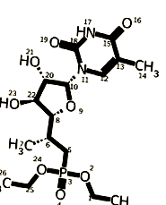 CCOP(=O)(C[C@H](C)[C@H]1O[C@@H](n2cc(C)c(=O)[nH]c2=O)[C@@H](O)[C@@H]1O)OCC